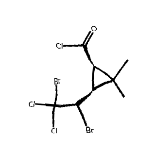 CC1(C)[C@H](C(=O)Cl)[C@@H]1C(Br)C(Cl)(Cl)Br